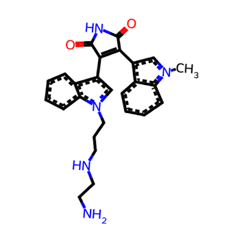 Cn1cc(C2=C(c3cn(CCCNCCN)c4ccccc34)C(=O)NC2=O)c2ccccc21